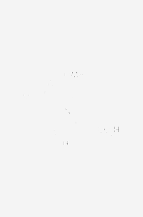 COc1ccc(N(Cc2cncs2)c2ccc(C(=O)O)cc2)cc1O[C@@H]1CCOC1